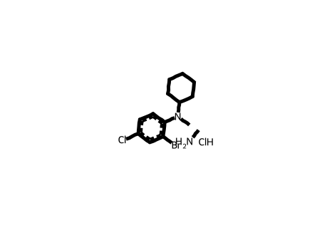 CN.CN(c1ccc(Cl)cc1Br)C1CCCCC1.Cl